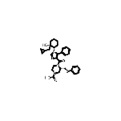 O=C(O)N1CCN(C(=O)c2ncn([C@@H]3CCCC[C@@]3(O)CC3CC3)c2-c2ccccc2)[C@H](CSc2ccccc2)C1